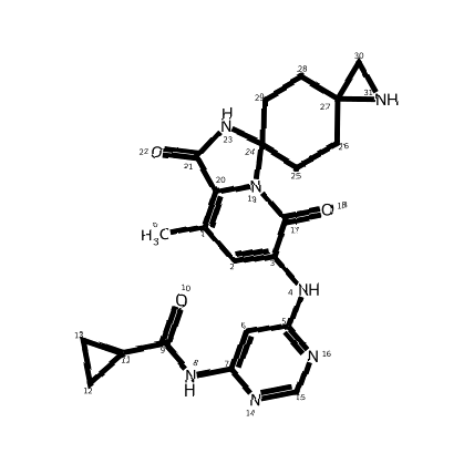 Cc1cc(Nc2cc(NC(=O)C3CC3)ncn2)c(=O)n2c1C(=O)NC21CCC2(CC1)CN2